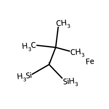 CC(C)(C)[C]([SiH3])[SiH3].[Fe]